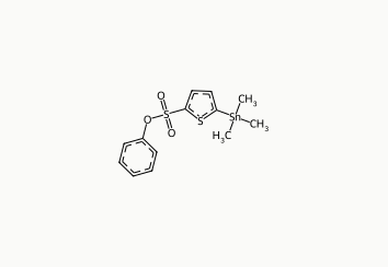 [CH3][Sn]([CH3])([CH3])[c]1ccc(S(=O)(=O)Oc2ccccc2)s1